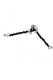 CCCCCCCCCCCCCCCCOC(=O)c1cc(C(=O)OCCCCCCCCCCCCCCCC)c[n+](C)c1.[Cl-]